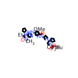 CC[C@@H]1C(=O)N(C)c2cnc(Nc3ccc(C(=O)NC4CCN(C(C[C@H](NC(=O)OC(C)(C)C)C(=O)O)C5CCCC5)C4)cc3OC)nc2N1C1CCCC1